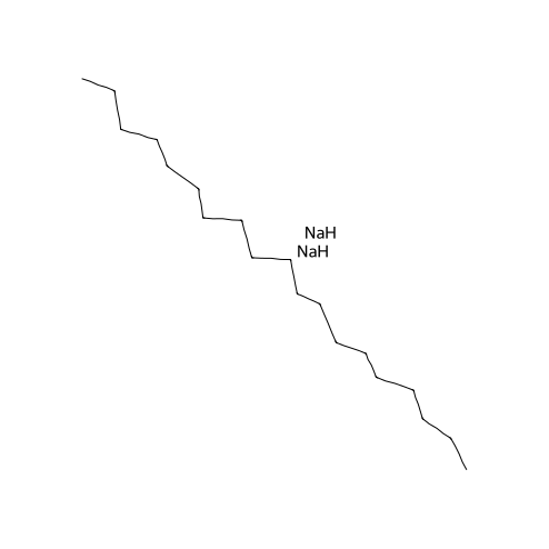 CCCCCCCCCCCCCCCCCCC.[NaH].[NaH]